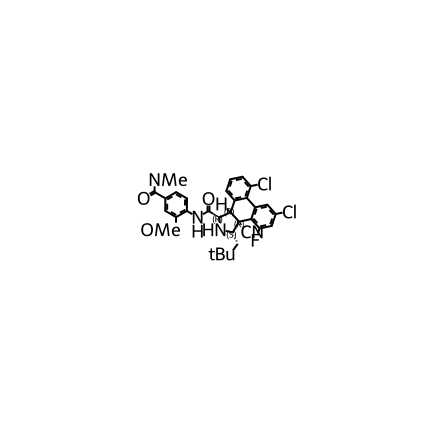 CNC(=O)c1ccc(NC(=O)[C@@H]2N[C@@H](CC(C)(C)C)[C@]3(C#N)c4c(F)cc(Cl)cc4-c4c(Cl)cccc4[C@@H]23)c(OC)c1